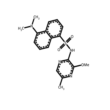 COc1nc(C)cnc1NS(=O)(=O)c1cccc2c(N(C)C)cccc12